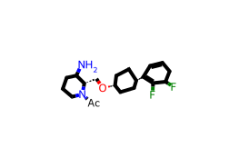 CC(=O)N1CCCC(N)[C@@H]1CO[C@H]1CC[C@@H](C2=C(F)C(F)CC=C2)CC1